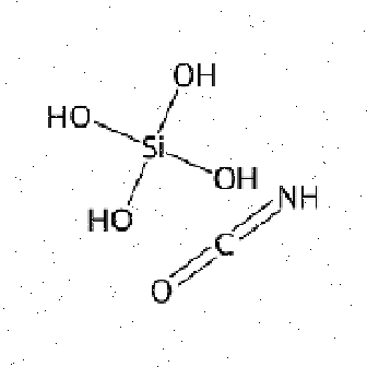 N=C=O.O[Si](O)(O)O